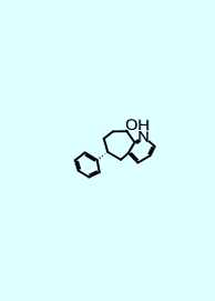 O[C@H]1CC[C@@H](c2ccccc2)Cc2cccnc21